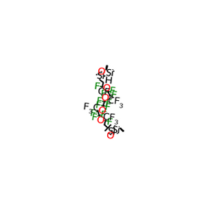 C=C[Si](C)(C)[Si](=O)C(C)(C)CC(F)(OC(F)(F)C(F)(OC(F)(F)C(F)(F)OC(F)(C(F)(F)F)C(F)(F)OC(F)(CC[Si](C)(C)OC(=C)[SiH](C)C)C(F)(F)F)C(F)(F)F)C(F)(F)F